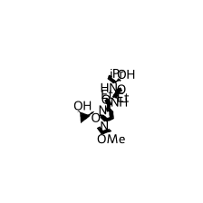 CCC(CC)(NC(=O)c1ccc(N2CC(OC)C2)c(OC[C@H]2C[C@@H]2CO)n1)C(=O)N[C@H](CO)CC(C)C